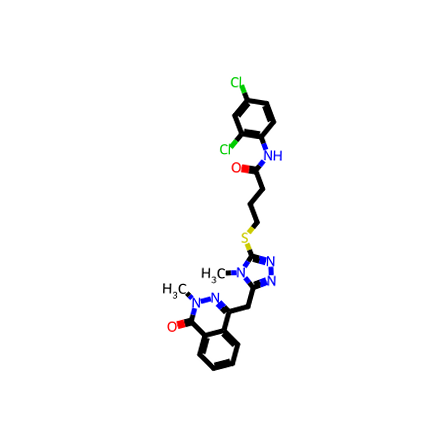 Cn1c(Cc2nn(C)c(=O)c3ccccc23)nnc1SCCCC(=O)Nc1ccc(Cl)cc1Cl